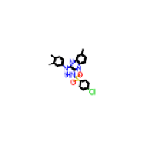 Cc1ccc2nc(NS(=O)(=O)c3ccc(Cl)cc3)c(Nc3ccc(C)c(C)c3)nc2c1